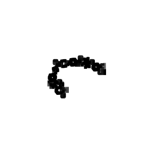 CC1(C)C(NC(=O)c2ccc(N3CCN(C(=O)C4CN(c5ccc6nnn(C7CCC(=O)NC7=O)c(=O)c6c5)C4)CC3)cc2)C(C)(C)C1Oc1ccc(C#N)c(Cl)c1